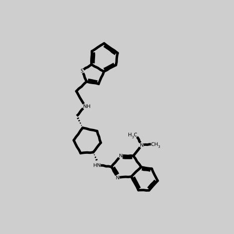 CN(C)c1nc(N[C@H]2CC[C@@H](CNCc3cc4ccccc4s3)CC2)nc2ccccc12